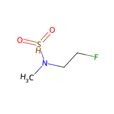 CN(CCF)[SH](=O)=O